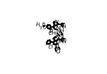 COc1ccc(-c2cc(N3CCOCC3)nc3c(-c4ccn[nH]4)nccc23)c(OC)c1.Clc1ccccc1-c1cc(N2CCOCC2)nc2c(-c3ccn[nH]3)nccc12